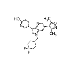 Cc1noc(C)c1-c1cnc2c(-c3ccc(O)nc3)cn(CC3CCC(F)(F)CC3)c2c1